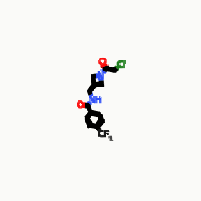 O=C(NCC1CN(C(=O)CCl)C1)c1ccc(C(F)(F)F)cc1